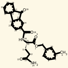 Cc1cccc(COC(=O)[C@H](CCC(N)=O)NC(=O)c2ccc3c(c2)C(=O)c2ccccc2-3)c1